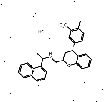 Cc1ccc([C@H]2C[C@H](C[AsH][C@H](C)c3cccc4ccccc34)Oc3ccccc32)cc1C(=O)O.Cl